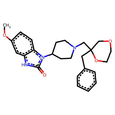 COc1ccc2c(c1)[nH]c(=O)n2C1CCN(CC2(Cc3ccccc3)COCCO2)CC1